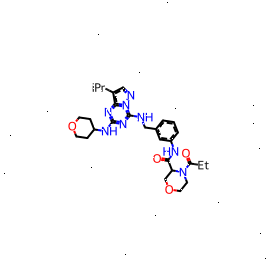 CCC(=O)N1CCOCC1C(=O)Nc1cccc(CNc2nc(NC3CCOCC3)nc3c(C(C)C)cnn23)c1